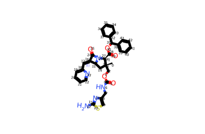 C[C@@]1(COC(=O)NCc2csc(N)n2)CC2/C(=C\c3ccccn3)C(=O)N2[C@H]1C(=O)OC(c1ccccc1)c1ccccc1